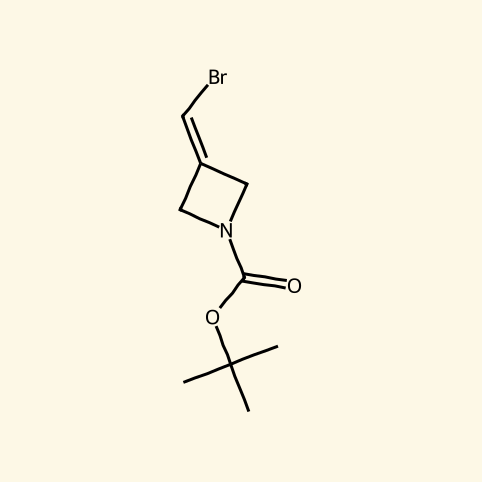 CC(C)(C)OC(=O)N1CC(=CBr)C1